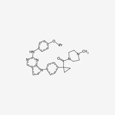 CC(C)Oc1ccc(Nc2ncc3ccn(-c4ccc(C5(C(=O)N6CCN(C)CC6)CC5)cc4)c3n2)cc1